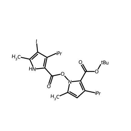 Cc1[nH]c(C(=O)On2c(C)cc(C(C)C)c2C(=O)OC(C)(C)C)c(C(C)C)c1I